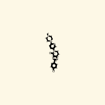 CN1CCN(c2ccc(N3CCc4nc(-c5ccc(Cl)cc5)sc4C3=O)cn2)CC1